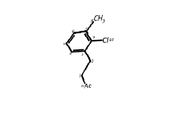 CC(=O)CCc1cccc(C)c1Cl